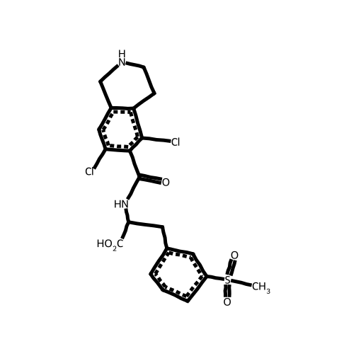 CS(=O)(=O)c1cccc(CC(NC(=O)c2c(Cl)cc3c(c2Cl)CCNC3)C(=O)O)c1